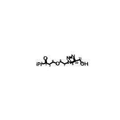 CC(C)C(=O)CCOCCn1cc(CO)nn1